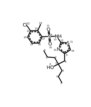 CCCC(O)(CCC)Cc1csc(NS(=O)(=O)c2cccc(Cl)c2C)n1